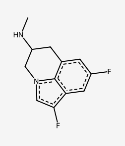 CNC1Cc2cc(F)cc3c(F)cn(c23)C1